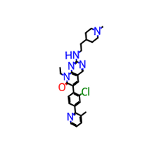 CCn1c(=O)c(-c2ccc(-c3ncccc3C)cc2Cl)cc2cnc(NCCC3CCN(C)CC3)nc21